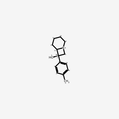 Cc1ccc([C@@]2(O)CN3CCCCC32)cc1